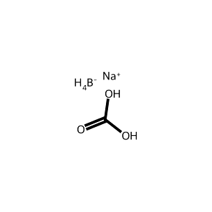 O=C(O)O.[BH4-].[Na+]